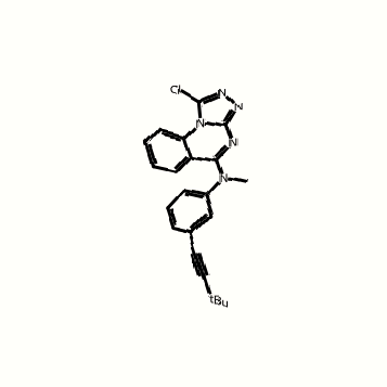 CN(c1cccc(C#CC(C)(C)C)c1)c1nc2nnc(Cl)n2c2ccccc12